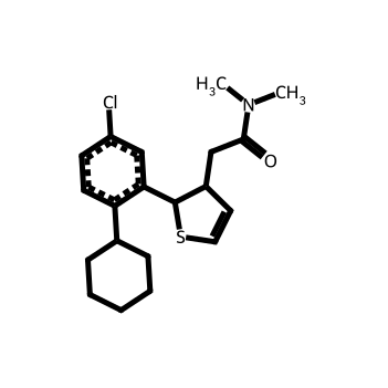 CN(C)C(=O)CC1C=CSC1c1cc(Cl)ccc1C1CCCCC1